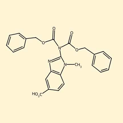 Cn1c(N(C(=O)OCc2ccccc2)C(=O)OCc2ccccc2)nc2cc(C(=O)O)ccc21